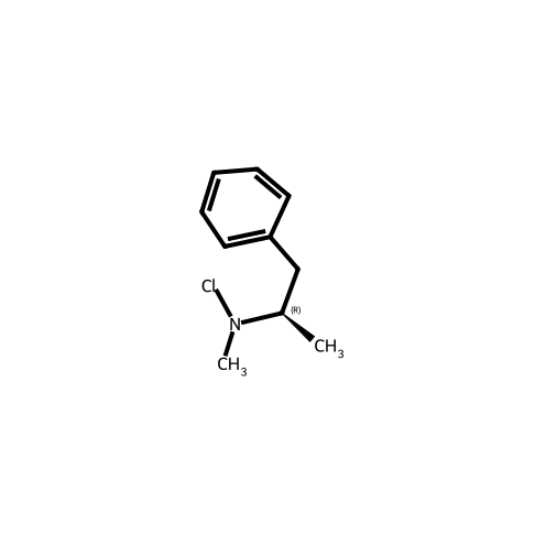 C[C@H](Cc1ccccc1)N(C)Cl